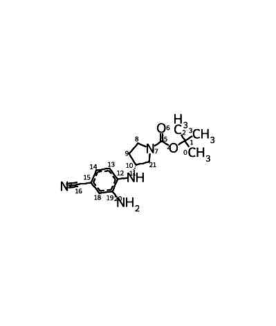 CC(C)(C)OC(=O)N1CC[C@@H](Nc2ccc(C#N)cc2N)C1